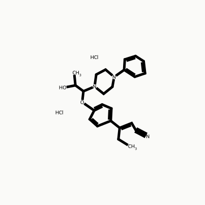 CCC(=CC#N)c1ccc(OC(C(C)O)N2CCN(c3ccccc3)CC2)cc1.Cl.Cl